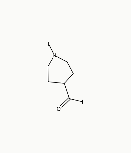 O=C(I)C1CCN(I)CC1